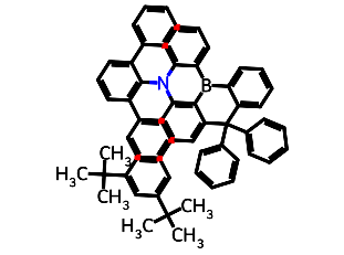 CC(C)(C)c1cc(-c2cc3c4c(c2)C(c2ccccc2)(c2ccccc2)c2ccccc2B4c2ccccc2N3c2c(-c3ccccc3)cccc2-c2ccccc2)cc(C(C)(C)C)c1